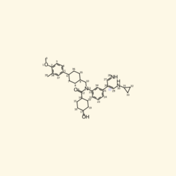 COc1ccc(C2CCC(CN(C(=O)C3CCC(O)CC3)c3cccc(/C(C=N)=C/NC4CC4)c3)CC2)cc1C